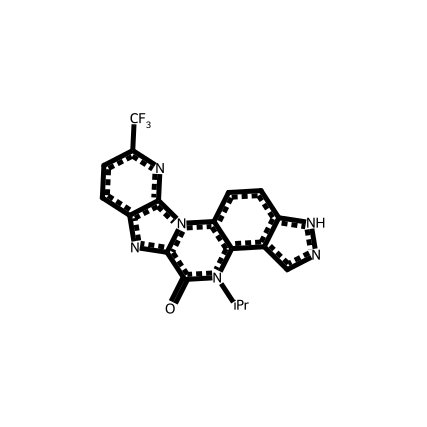 CC(C)n1c(=O)c2nc3ccc(C(F)(F)F)nc3n2c2ccc3[nH]ncc3c21